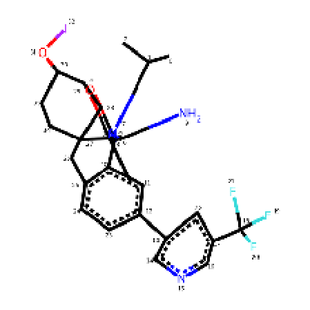 CC(C)N1C(=O)C2(N=C1N)c1cc(-c3cncc(C(F)(F)F)c3)ccc1CC21CCC(OI)CC1